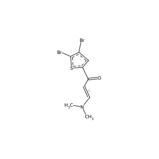 CN(C)/C=C/C(=O)c1cc(Br)c(Br)s1